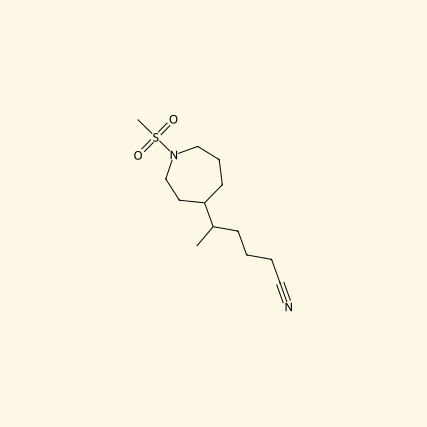 CC(CCCC#N)C1CCCN(S(C)(=O)=O)CC1